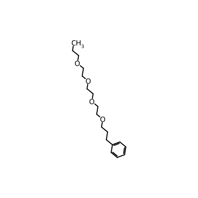 CCCOCCOCCOCCOCCCc1ccccc1